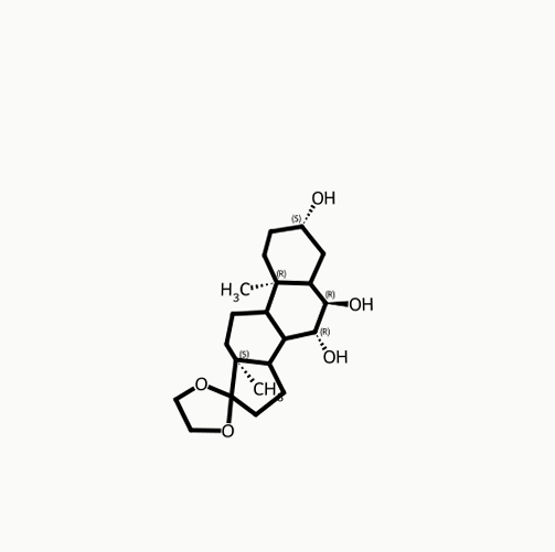 C[C@]12CC[C@H](O)CC1[C@@H](O)[C@H](O)C1C2CC[C@@]2(C)C1CCC21OCCO1